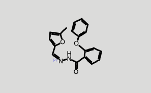 Cc1ccc(/C=N\NC(=O)c2ccccc2Oc2ccccc2)o1